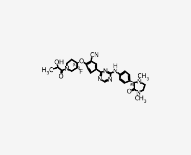 CC(O)C(=O)N1CC[C@H](Oc2ccc(-c3ncnc(Nc4ccc([C@@H]5C(=O)N(C)CCN5C)cc4)n3)cc2C#N)[C@H](F)C1